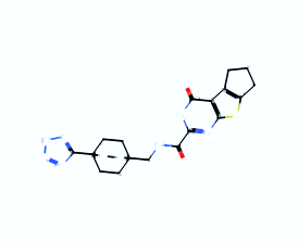 O=C(NCC12CCC(c3nn[nH]n3)(CC1)CC2)c1nc2sc3c(c2c(=O)[nH]1)CCC3